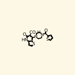 O=C(O)c1c(N2CCN(C(=O)c3cccs3)CC2)c2sccc2[nH]c1=O